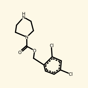 O=C(OCc1ccc(Cl)cc1Cl)N1CCNCC1